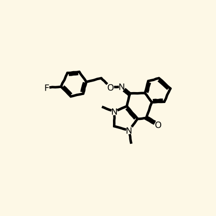 CN1CN(C)C2=C1C(=O)c1ccccc1/C2=N/OCc1ccc(F)cc1